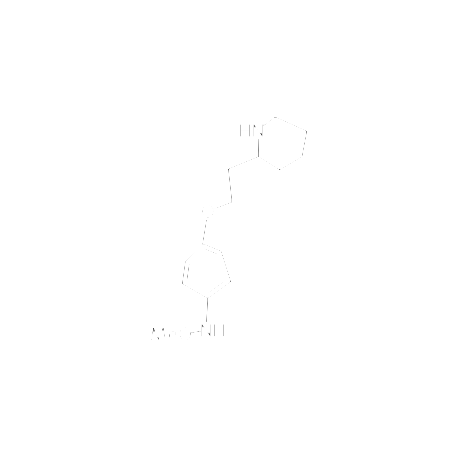 CONc1ccc(OCCC2CCCCN2)cc1